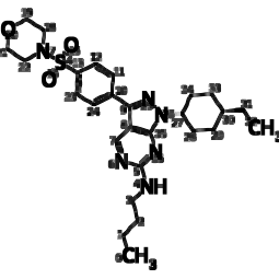 CCCCNc1ncc2c(-c3ccc(S(=O)(=O)N4CCOCC4)cc3)nn([C@H]3CC[C@H](CC)CC3)c2n1